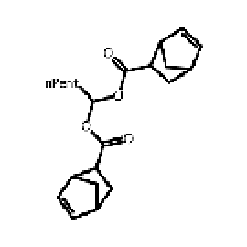 CCCCCC(OC(=O)C1CC2C=CC1C2)OC(=O)C1CC2C=CC1C2